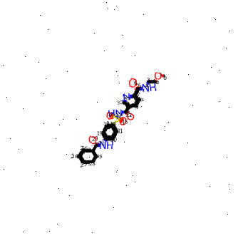 COCCNC(=O)c1ccc(C(=O)NS(=O)(=O)c2ccc(NC(=O)C3CCCCC3)cc2)cn1